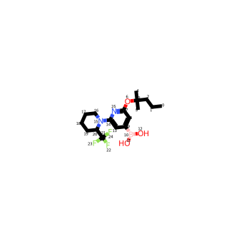 CCCC(C)(C)Oc1cc(B(O)O)cc(N2CCCCC2C(F)(F)F)n1